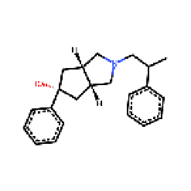 CC(CN1C[C@@H]2C[C@@](O)(c3ccccc3)C[C@@H]2C1)c1ccccc1